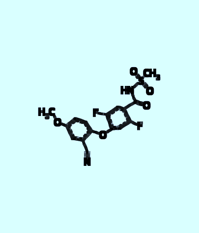 COc1ccc(Oc2cc(F)c(C(=O)NS(C)(=O)=O)cc2F)c(C#N)c1